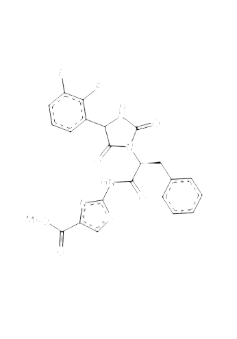 COC(=O)c1csc(NC(=O)[C@H](Cc2ccccc2)N2C(=O)NC(c3cccc(F)c3F)C2=O)n1